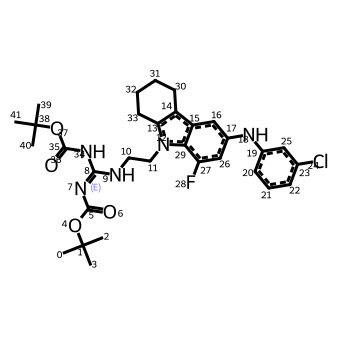 CC(C)(C)OC(=O)/N=C(\NCCn1c2c(c3cc(Nc4cccc(Cl)c4)cc(F)c31)CCCC2)NC(=O)OC(C)(C)C